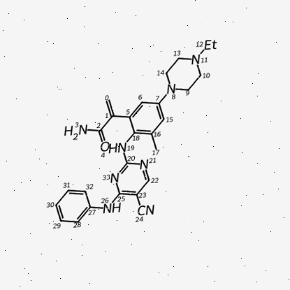 C=C(C(N)=O)c1cc(N2CCN(CC)CC2)cc(C)c1Nc1ncc(C#N)c(Nc2ccccc2)n1